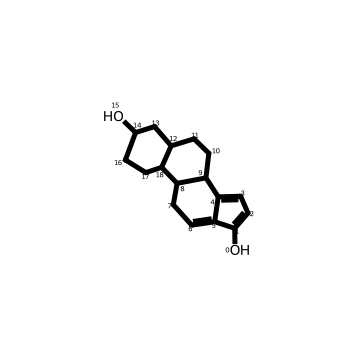 OC1=CC=C2C1=CCC1C2CCC2CC(O)CCC21